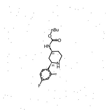 CCCCOC(=O)N[C@H]1CCN[C@@H](c2ccc(F)cc2C)C1